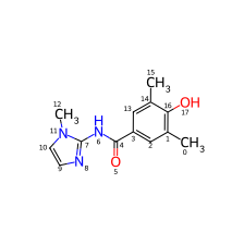 Cc1cc(C(=O)Nc2nccn2C)cc(C)c1O